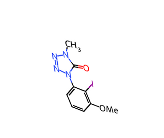 COc1cccc(-n2nnn(C)c2=O)c1I